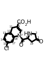 O=C1CNC(C(=O)N2C=C(C(=O)O)Cc3ccc(Cl)cc32)C1